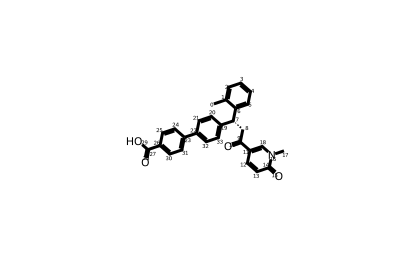 Cc1ccccc1[C@H](CC(=O)c1ccc(=O)n(C)c1)c1ccc(-c2ccc(C(=O)O)cc2)cc1